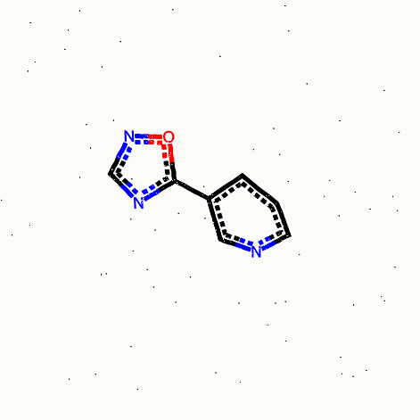 c1cncc(-c2ncno2)c1